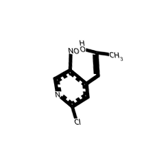 C/C(O)=C/c1cc(Cl)ncc1N=O